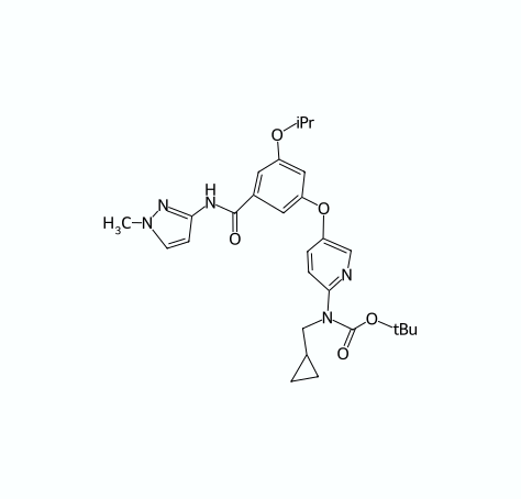 CC(C)Oc1cc(Oc2ccc(N(CC3CC3)C(=O)OC(C)(C)C)nc2)cc(C(=O)Nc2ccn(C)n2)c1